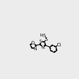 SSc1sc(-c2ncco2)nc1-c1cccc(Cl)c1